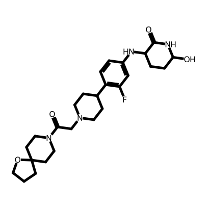 O=C1NC(O)CCC1Nc1ccc(C2CCN(CC(=O)N3CCC4(CCCO4)CC3)CC2)c(F)c1